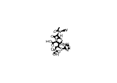 CC(=O)N(C#N)C1C(=O)N2C(C(=O)O)=C(C(CS(=O)(=O)O)Sc3nnn[nH]3)CS[C@@H]12